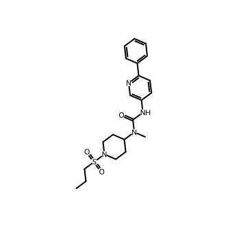 CCCS(=O)(=O)N1CCC(N(C)C(=O)Nc2ccc(-c3ccccc3)nc2)CC1